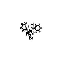 Brc1nc(NC2=CCCC=C2)n(C2CCCCO2)n1